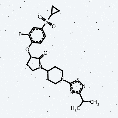 CC(C)c1nsc(N2CCC(N3CCC(Oc4ccc(S(=O)(=O)C5CC5)cc4F)C3=O)CC2)n1